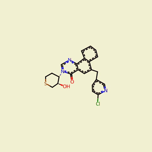 O=c1c2cc(Cc3ccc(Cl)nc3)c3ccccc3c2ncn1[C@H]1CCSC[C@@H]1O